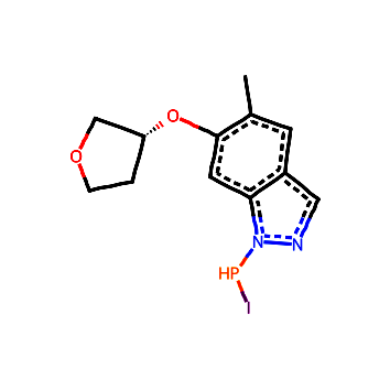 Cc1cc2cnn(PI)c2cc1O[C@@H]1CCOC1